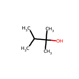 C[C](C)C(C)(C)O